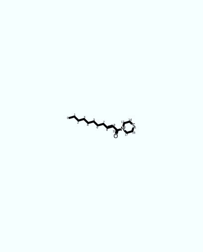 CCCCCCCC/C=C/C(=O)N1CCSCC1